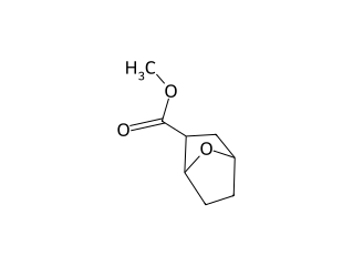 COC(=O)C1CC2CCC1O2